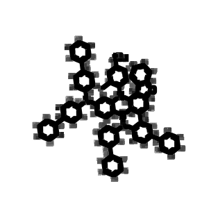 Cc1cc(C(C)(C)C)ccc1N1c2cc(N(c3ccc(-c4ccccc4)cc3)c3ccc(-c4ccccc4)cc3)ccc2B2c3c(cc4oc5ccccc5c4c31)-c1cc(-c3ccccc3)ccc1N2c1cccc(-c2ccccc2)c1